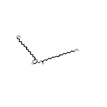 CCCCCCCCC=CCCCCCCCC(=O)OC[C@@H](CCl)OC(=O)CCCCCCCC=CCCCCCCCC